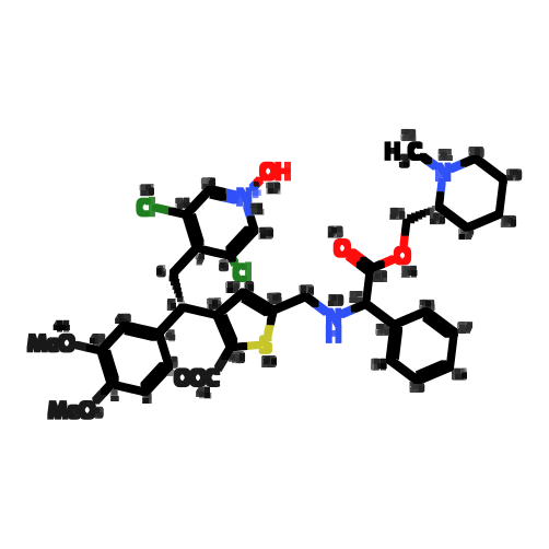 COc1ccc([C@H](Cc2c(Cl)c[n+](O)cc2Cl)c2cc(CNC(C(=O)OC[C@H]3CCCCN3C)c3ccccc3)sc2C(=O)[O-])cc1OC